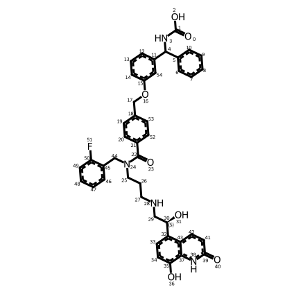 O=C(O)NC(c1ccccc1)c1cccc(OCc2ccc(C(=O)N(CCCNC[C@@H](O)c3ccc(O)c4[nH]c(=O)ccc34)Cc3ccccc3F)cc2)c1